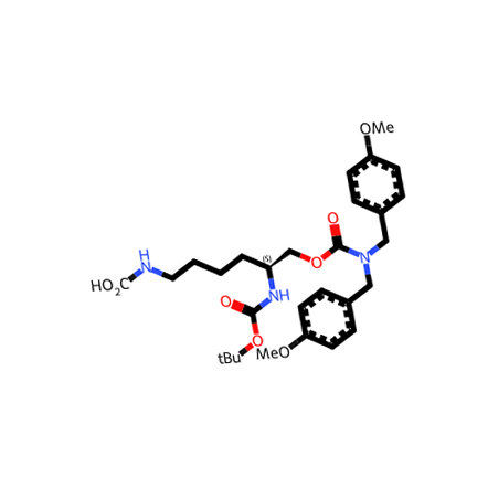 COc1ccc(CN(Cc2ccc(OC)cc2)C(=O)OC[C@H](CCCCNC(=O)O)NC(=O)OC(C)(C)C)cc1